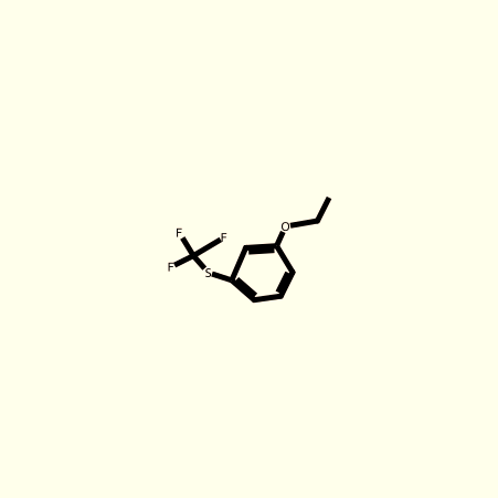 CCOc1cccc(SC(F)(F)F)c1